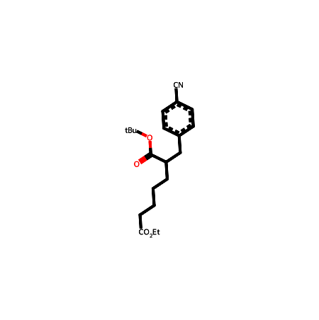 CCOC(=O)CCCCC(Cc1ccc(C#N)cc1)C(=O)OC(C)(C)C